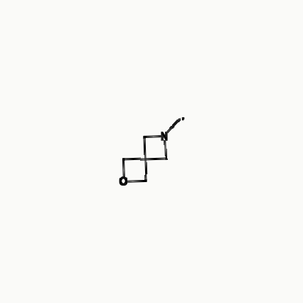 [CH2]N1CC2(COC2)C1